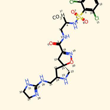 O=C(NCC(NS(=O)(=O)c1c(Cl)cccc1Cl)C(=O)O)C1=NO[C@]2(CNC(CNC3=NCCN3)C2)C1